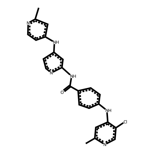 Cc1cc(Nc2ccnc(NC(=O)c3ccc(Nc4cc(C)ncc4Cl)cc3)c2)ccn1